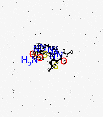 CCCn1c(=O)c2sc(C)cc2n2c(Sc3c(S(N)(=O)=O)ncn3C)nnc12